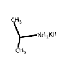 CC(C)N.[KH]